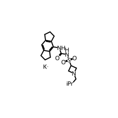 CC(C)CN1CC(S(=O)(=O)NC(=O)Nc2c3c(cc4c2CCC4)CCC3)C1.[K]